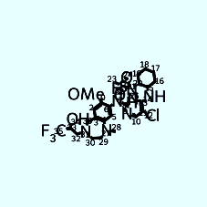 COc1cc2c(cc1Nc1ncc(Cl)c(N[C@@H]3CCCC[C@H]3NS(C)(=O)=O)n1)N(C)CCN(CC(O)C(F)(F)F)C2